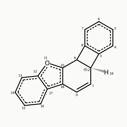 C1=C[C@@H]2c3ccccc3C2c2oc3ccccc3c21